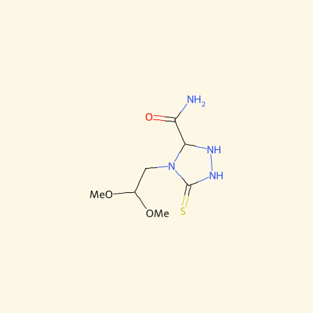 COC(CN1C(=S)NNC1C(N)=O)OC